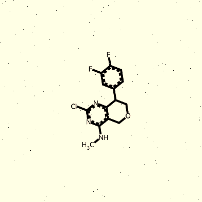 CNc1nc(Cl)nc2c1COCC2c1ccc(F)c(F)c1